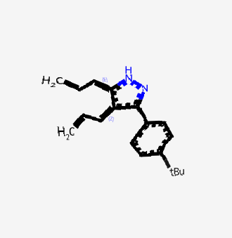 C=C/C=c1/c(-c2ccc(C(C)(C)C)cc2)n[nH]/c1=C/C=C